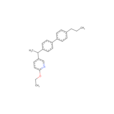 CCCc1ccc(-c2ccc(C(C)c3ccc(OCC)nc3)cc2)cc1